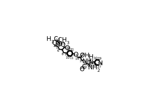 CC1(C)OCC(CC(Cc2ccc(OCC(O)CNC(=C=O)C(N)Nc3ccncc3)cc2)C(=O)O)O1